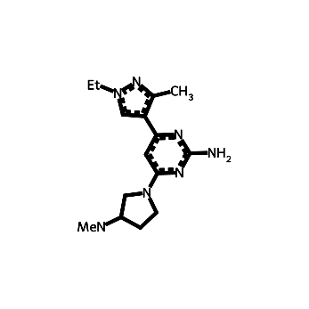 CCn1cc(-c2cc(N3CCC(NC)C3)nc(N)n2)c(C)n1